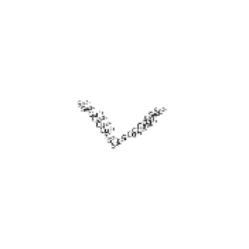 [Cu+2].[Cu+2].[Cu+2].[Cu+2].[Ga+3].[Ga+3].[Ga+3].[Ga+3].[S-2].[S-2].[S-2].[S-2].[S-2].[Se-2].[Se-2].[Se-2].[Se-2].[Se-2]